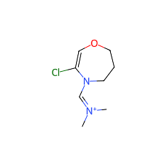 C[N+](C)=CN1CCCOC=C1Cl